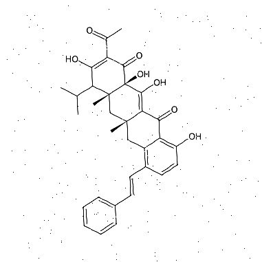 CC(=O)C1=C(O)C(C(C)C)[C@@]2(C)C[C@@]3(C)Cc4c(/C=C/c5ccccc5)ccc(O)c4C(=O)C3=C(O)[C@@]2(O)C1=O